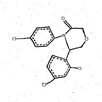 O=C1COCC(c2ccc(Cl)cc2Cl)N1c1ccc(Cl)cc1